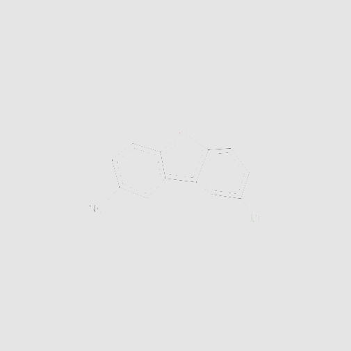 N#Cc1ccc2oc3ccc(Br)cc3c2c1